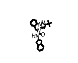 CC(C)(C)c1cc2n(n1)-c1ccccc1CN2C(=O)NC1Cc2ccccc2C1